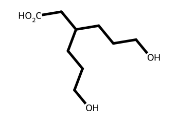 O=C(O)CC(CCCO)CCCO